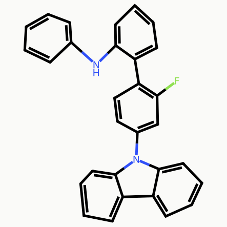 Fc1cc(-n2c3ccccc3c3ccccc32)ccc1-c1ccccc1Nc1ccccc1